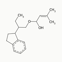 CCC(COC(O)C=C(C)C)C1CCc2ccccc21